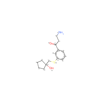 NCCC(=O)c1cccc(SCC2(O)CCCC2)c1